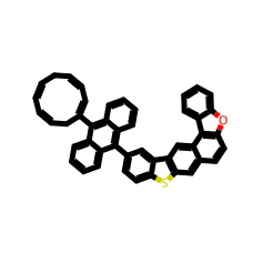 C1=C\C/C=C\C=C(\c2c3ccccc3c(-c3ccc4sc5cc6ccc7oc8ccccc8c7c6cc5c4c3)c3ccccc23)C\C=C/1